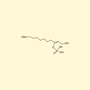 CCCCCCCCCCCCCCCCCC(=CCO)OP(=O)(O)O